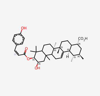 C[C@H]1[C@H](C)C[C@@H](C(=O)O)C2CC[C@]3(C)C(=CCC4C5(C)C[C@@H](O)[C@@H](OC(=O)/C=C\c6ccc(O)cc6)C(C)(C)C5CC[C@]43C)[C@@H]21